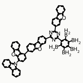 Bc1c(B)c(B)c(-c2nc(-c3ccc4c(c3)oc3ccccc34)nc(-c3ccc4c(c3)oc3cc(-c5ccc(-n6c7ccccc7c7ccccc76)c6oc7ccccc7c56)ccc34)n2)c(B)c1B